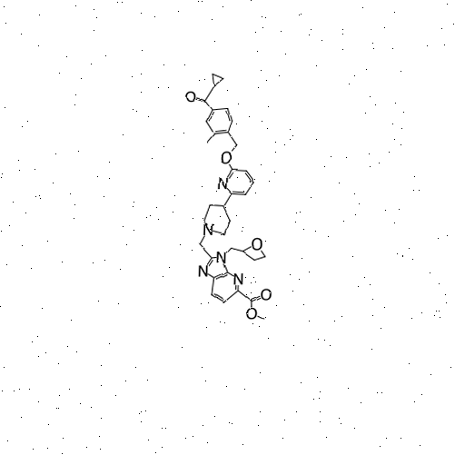 COC(=O)c1ccc2nc(CN3CCC(c4cccc(OCc5ccc(C(=O)C6CC6)cc5C)n4)CC3)n(CC3CCO3)c2n1